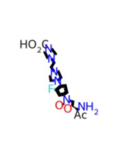 CC(=O)C(N)[C@@H]1CN(c2ccc(N3CCN(CCN4CCN(C(=O)O)CC4)CC3)c(F)c2)C(=O)O1